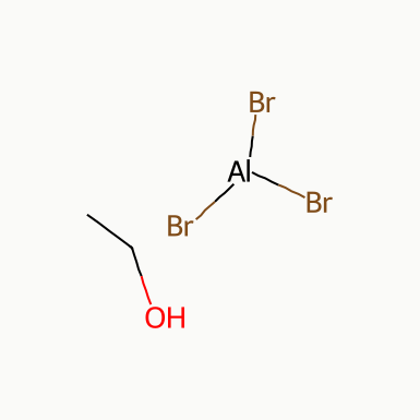 CCO.[Br][Al]([Br])[Br]